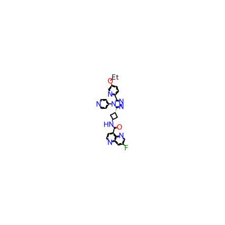 CCOc1ccc(-c2nnc([C@H]3C[C@H](NC(=O)c4ccnc5cc(F)cnc45)C3)n2-c2ccncc2)nc1